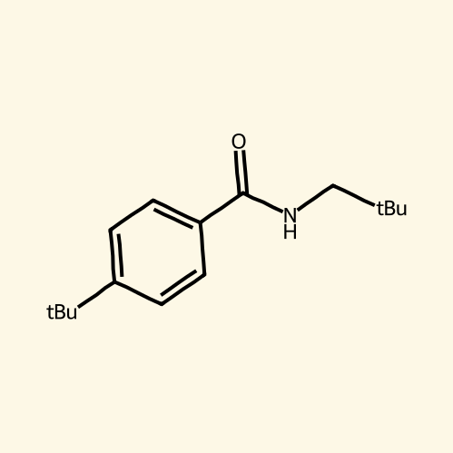 CC(C)(C)CNC(=O)c1ccc(C(C)(C)C)cc1